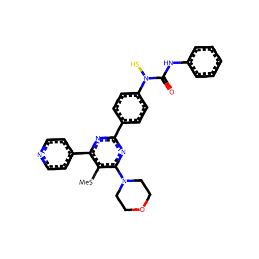 CSc1c(-c2ccncc2)nc(-c2ccc(N(S)C(=O)Nc3ccccc3)cc2)nc1N1CCOCC1